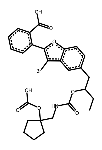 CCC(Cc1ccc2oc(-c3ccccc3C(=O)O)c(Br)c2c1)OC(=O)NCC1(OC(=O)O)CCCC1